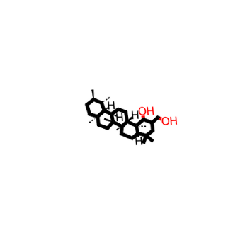 C[C@@H]1[C@H]2[C@H]3CC[C@@H]4[C@@]5(C)C(O)C(CO)CC(C)(C)[C@@H]5CC[C@@]4(C)[C@]3(C)CC[C@@]2(C)CC[C@H]1C